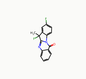 CC1(F)c2cc(F)ccc2-n2c1nc1ccccc1c2=O